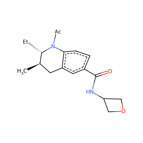 CC[C@H]1[C@H](C)Cc2cc(C(=O)NC3COC3)ccc2N1C(C)=O